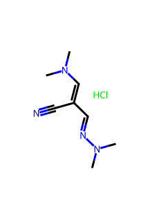 CN(C)C=C(C#N)C=NN(C)C.Cl